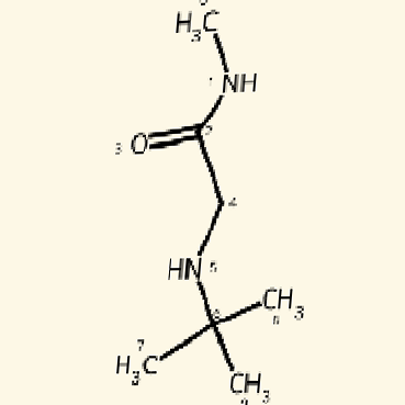 CNC(=O)CNC(C)(C)C